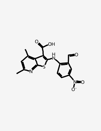 Cc1cc(C)c2c(C(=O)O)c(Nc3ccc([N+](=O)[O-])cc3C=O)sc2n1